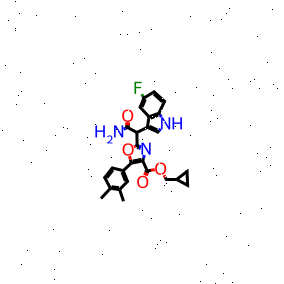 Cc1ccc(-c2oc(C(C(N)=O)c3c[nH]c4ccc(F)cc34)nc2C(=O)OCC2CC2)cc1C